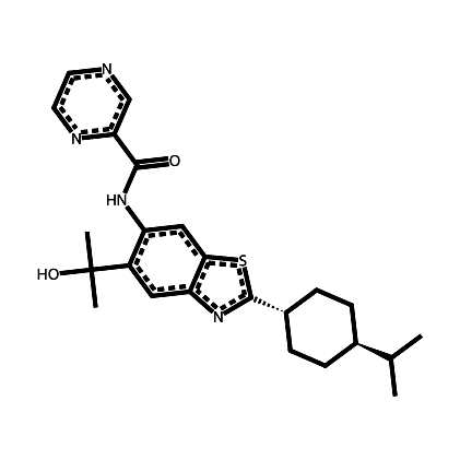 CC(C)[C@H]1CC[C@H](c2nc3cc(C(C)(C)O)c(NC(=O)c4cnccn4)cc3s2)CC1